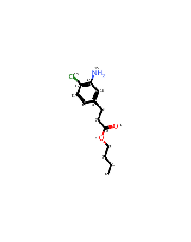 CCCCOC(=O)CCc1ccc(Cl)c(N)c1